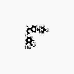 Cc1cc(OCC[C@@H](C)C2CCN(c3ncc(Cl)cn3)CC2)cc(C)c1C(=O)O